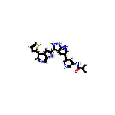 CC(C)C(=O)Nc1cncc(-c2cnc3[nH]nc(-c4cc5c(-c6cccs6)cncc5[nH]4)c3c2)c1